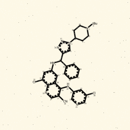 CC(C)(C)N1CCC(n2cc(C(Nc3cc(Cl)c4ncc(C#N)c(Nc5cncc(Cl)c5)c4c3)c3ccccc3)nn2)CC1